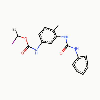 CCC(I)OC(=O)Nc1ccc(C)c(NC(=O)Nc2ccccc2)c1